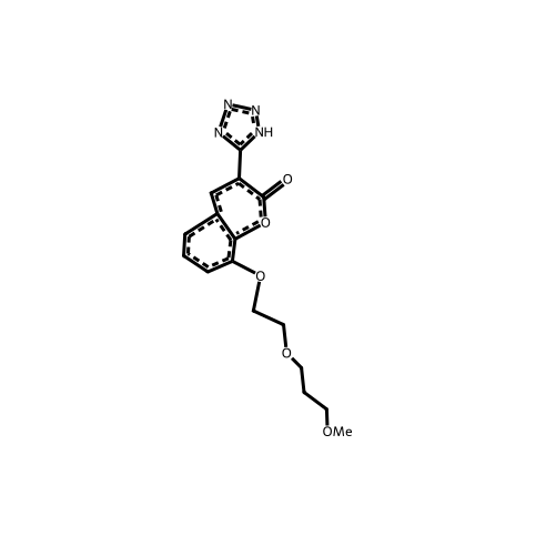 COCCCOCCOc1cccc2cc(-c3nnn[nH]3)c(=O)oc12